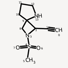 C#CC1N(S(C)(=O)=O)CC12CCCN2